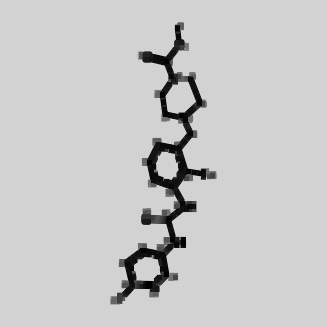 COC(=O)N1CCN(Cc2cccc(NC(=O)Nc3ccc(F)nc3)c2F)CC1